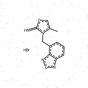 Br.Cc1coc(=N)n1Cc1cccc2nsnc12